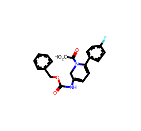 O=C(NC1=CC=C(c2ccc(F)cc2)N(C(=O)C(=O)O)C1)OCc1ccccc1